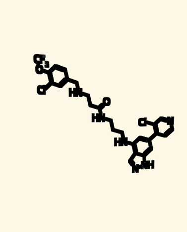 O=C(CCNCc1ccc(OC(F)(F)F)c(Cl)c1)NCCCNc1cc(-c2ccncc2Cl)cc2[nH]ncc12